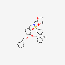 CCOC(CN(Cc1ccc(OCc2ccccc2)c(OCc2ccccc2)c1)S(=O)(=O)c1ccc(C)cc1)OCC